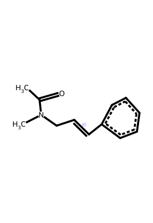 CC(=O)N(C)C/C=C/c1ccccc1